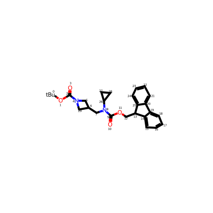 CC(C)(C)OC(=O)N1CC(CN(C(=O)OCC2c3ccccc3-c3ccccc32)C2CC2)C1